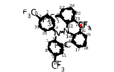 FC(F)(F)c1ccc(N(c2ccc(C(F)(F)F)cc2)N(c2c(C(F)(F)F)cccc2C(F)(F)F)c2c(C(F)(F)F)cccc2C(F)(F)F)cc1